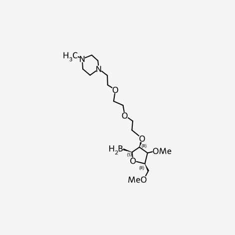 B[C@@H]1O[C@H](COC)C(OC)[C@@H]1OCCOCCOCCN1CCN(C)CC1